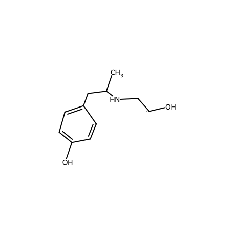 CC(Cc1ccc(O)cc1)NC[CH]O